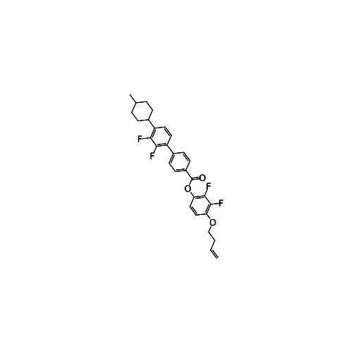 C=CCCOc1ccc(OC(=O)c2ccc(-c3ccc(C4CCC(C)CC4)c(F)c3F)cc2)c(F)c1F